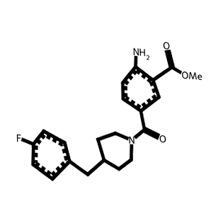 COC(=O)c1cc(C(=O)N2CCC(Cc3ccc(F)cc3)CC2)ccc1N